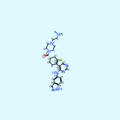 CN(C)CCN1CCN(C(=O)[C@H]2CCc3c(sc4ncnc(Nc5ccc6[nH]ncc6c5)c34)C2)CC1